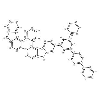 c1ccc(-c2ccc(-c3nc(-c4ccccc4)nc(-c4ccc5c(c4)sc4cccc(-c6ccccc6-c6cccc7oc8ccccc8c67)c45)n3)cc2)cc1